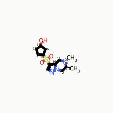 C[C@H]1Cn2ncc(S(=O)(=O)C3CCC(O)C3)c2CN1C